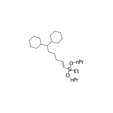 CCCO[Si](C=CCCCC(C1CCCCC1)C1CCCCC1)(CC)OCCC